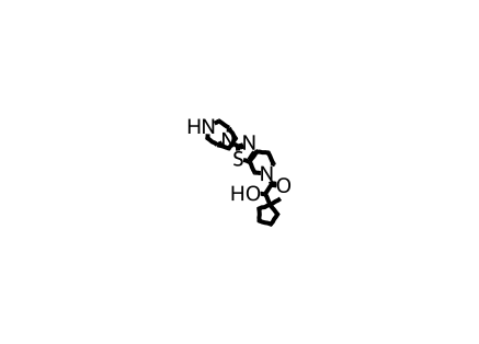 CC1(C(O)C(=O)N2CCc3nc(N4C5CCC4CNC5)sc3C2)CCCC1